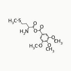 COc1cc(C(=O)OC(=O)[C@@H](N)CCSC)cc(OC)c1OC